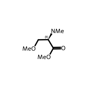 CN[C@H](COC)C(=O)OC